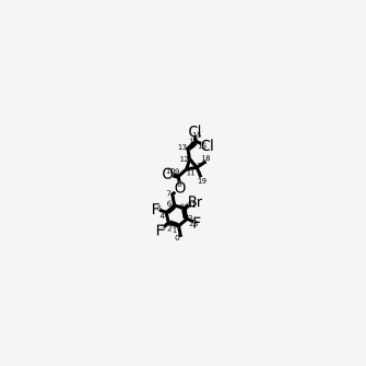 Cc1c(F)c(F)c(COC(=O)C2C(C=C(Cl)Cl)C2(C)C)c(Br)c1F